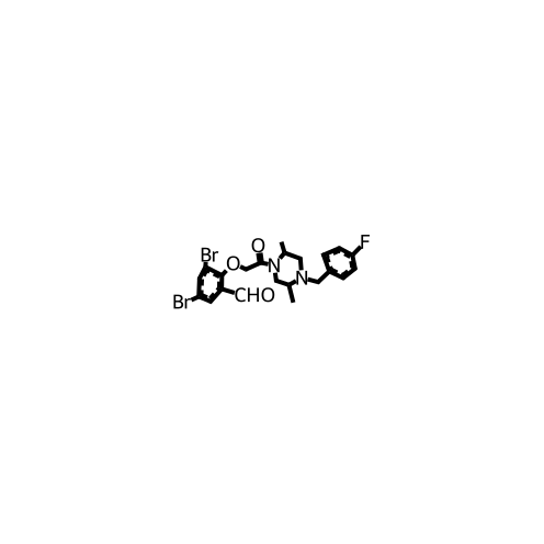 CC1CN(C(=O)COc2c(Br)cc(Br)cc2C=O)C(C)CN1Cc1ccc(F)cc1